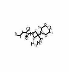 CCCS(=O)(=O)N1CC(CN)(N2CCOCC2)C1